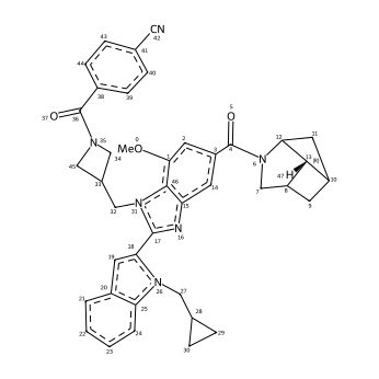 COc1cc(C(=O)N2CC3CC4CC2[C@H]43)cc2nc(-c3cc4ccccc4n3CC3CC3)n(CC3CN(C(=O)c4ccc(C#N)cc4)C3)c12